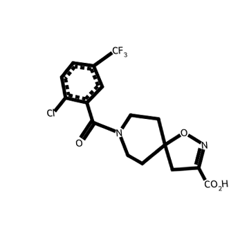 O=C(O)C1=NOC2(CCN(C(=O)c3cc(C(F)(F)F)ccc3Cl)CC2)C1